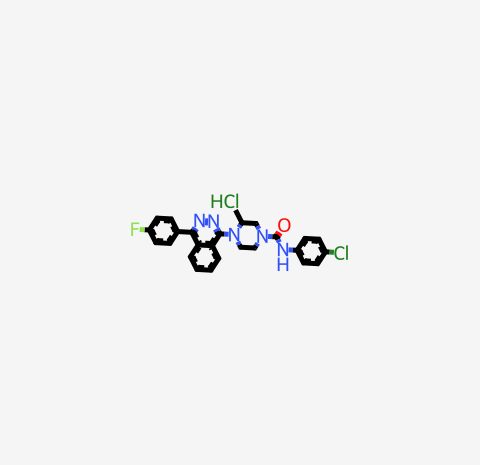 CC1CN(C(=O)Nc2ccc(Cl)cc2)CCN1c1nnc(-c2ccc(F)cc2)c2ccccc12.Cl